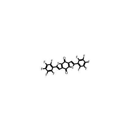 O=C1c2cc(-c3c(F)c(F)c(F)c(F)c3F)sc2C(=O)c2cc(-c3c(F)c(F)c(F)c(F)c3F)sc21